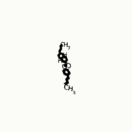 CCCCCC1CCC(OC(=O)[C@@H]2CC[C@@H]3CC(CCCC)CC[C@@H]3C2)CC1